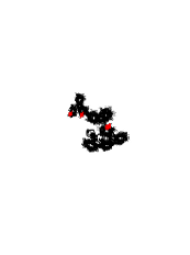 O=c1oc2c(ccc3c4ccccc4n(-c4ccc(-n5c6ccccc6c6cc(-c7ccc8c(c7)c7ccccc7n8-c7ccccc7)ccc65)cc4)c32)c2ccccc12